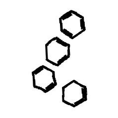 C1=CCC=CC1.C1=CCCC=C1.C1=CCCCC=1.c1ccccc1